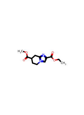 CCOC(=O)c1cn2c(n1)CC(C(=O)OC)CC2